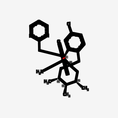 C[C@H]1[C@H](C)C[C@@]2(Cc3ccc(Cl)cc3[C@]23N=C(N)N(Cc2ncccn2)C3=O)C[C@@H]1C